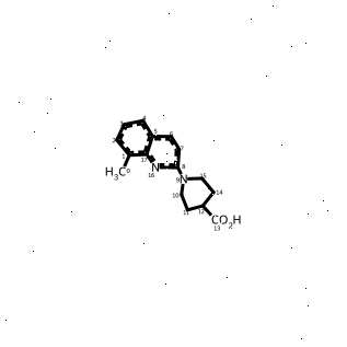 Cc1cccc2ccc(N3CCC(C(=O)O)CC3)nc12